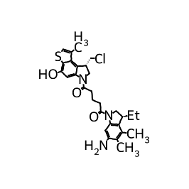 CC[C@@H]1CN(C(=O)CCCC(=O)N2C[C@@H](CCl)c3c2cc(O)c2scc(C)c32)c2cc(N)c(C)c(C)c21